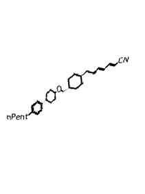 CCCCCc1ccc([C@H]2CC[C@H](OC[C@H]3CC[C@H](CCC=CC=CC#N)CC3)CC2)cc1